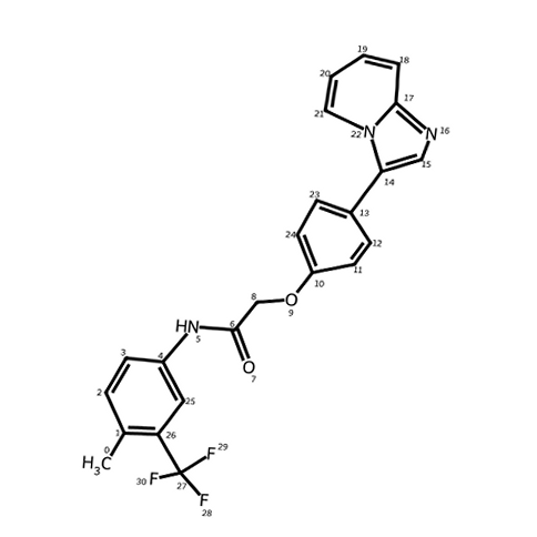 Cc1ccc(NC(=O)COc2ccc(-c3cnc4ccccn34)cc2)cc1C(F)(F)F